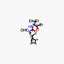 CCC(CC)[C@H](NC(=O)N(C=O)CC(C)C1CCCC1)C(=O)C(C)C